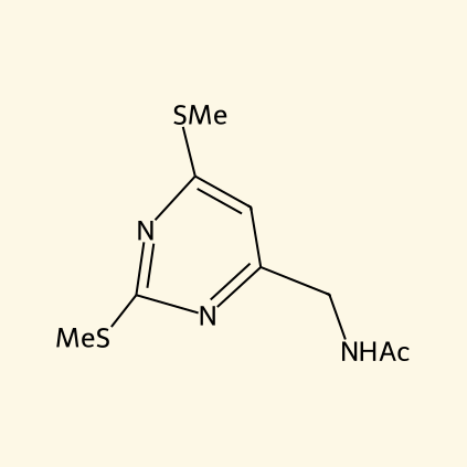 CSc1cc(CNC(C)=O)nc(SC)n1